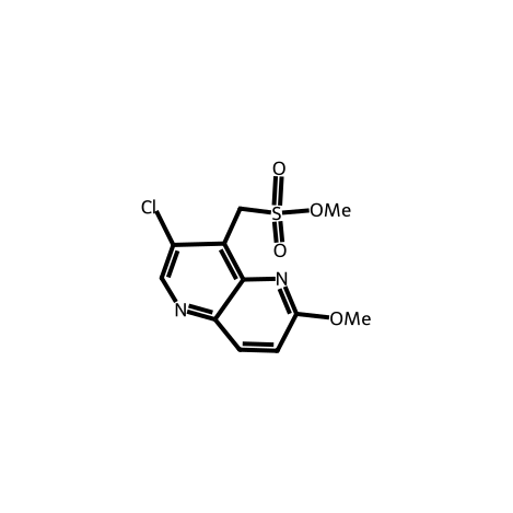 COc1ccc2ncc(Cl)c(CS(=O)(=O)OC)c2n1